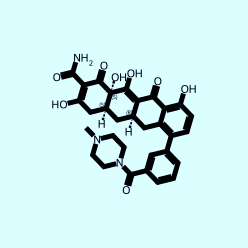 CN1CCN(C(=O)c2cccc(-c3ccc(O)c4c3C[C@H]3C[C@H]5CC(O)=C(C(N)=O)C(=O)[C@@]5(O)C(O)=C3C4=O)c2)CC1